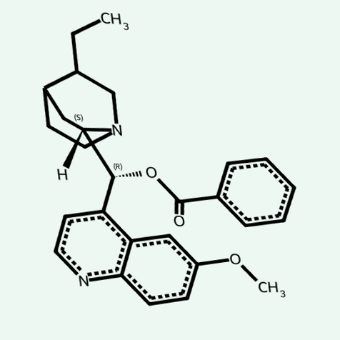 CCC1CN2CCC1C[C@H]2[C@H](OC(=O)c1ccccc1)c1ccnc2ccc(OC)cc12